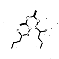 C=C(OSC(F)CCC)OC(=C)OSC(F)CCC